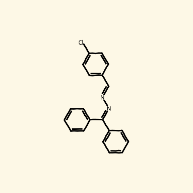 Clc1ccc(C=NN=C(c2ccccc2)c2ccccc2)cc1